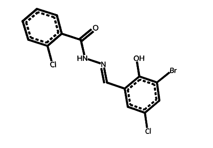 O=C(N/N=C/c1cc(Cl)cc(Br)c1O)c1ccccc1Cl